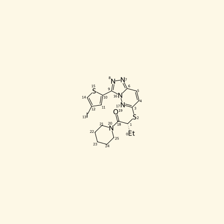 CC[C@@H](Sc1ccc2nnc(-c3cc(I)cs3)n2n1)C(=O)N1CCCCC1